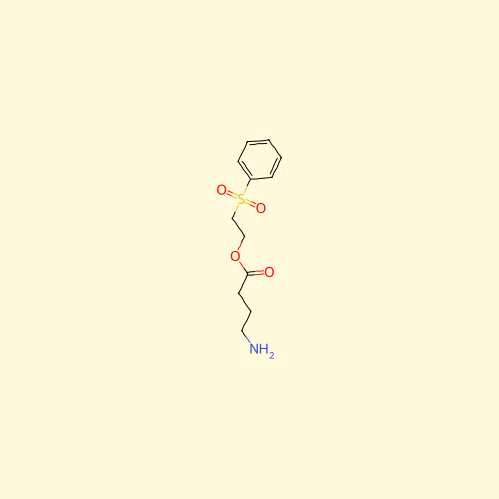 NCCCC(=O)OCCS(=O)(=O)c1ccccc1